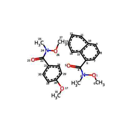 CON(C)C(=O)c1cccc2ccccc12.COc1ccc(C(=O)N(C)OC)cc1